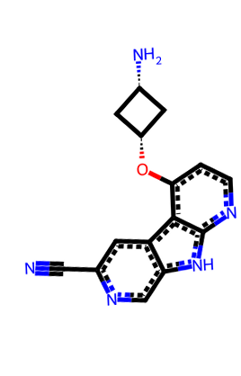 N#Cc1cc2c(cn1)[nH]c1nccc(O[C@H]3C[C@@H](N)C3)c12